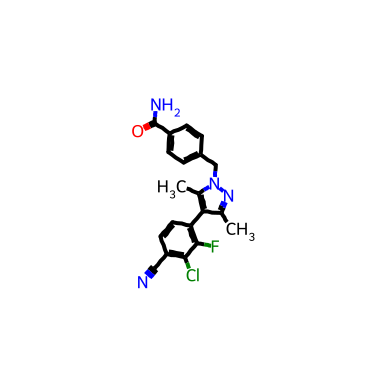 Cc1nn(Cc2ccc(C(N)=O)cc2)c(C)c1-c1ccc(C#N)c(Cl)c1F